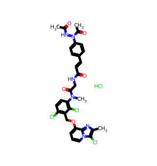 CC(=O)NN(C(C)=O)c1ccc(C=CC(=O)NCC(=O)N(C)c2ccc(Cl)c(COc3cccn4c(Cl)c(C)nc34)c2Cl)cc1.Cl